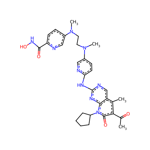 CC(=O)c1c(C)c2cnc(Nc3ccc(N(C)CCN(C)c4ccc(C(=O)NO)nc4)cn3)nc2n(C2CCCC2)c1=O